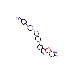 Nc1ccc(N2CCN(C3CCC4(CCN(c5ccc6cnn(C7CCC(=O)NC7=O)c(=O)c6c5)CC4)C3)CC2)cc1